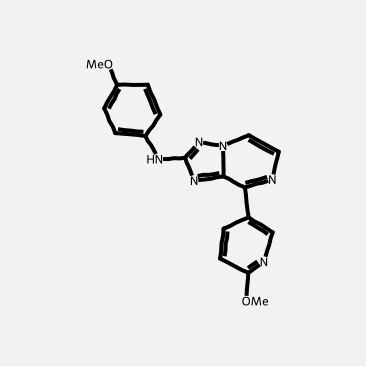 COc1ccc(Nc2nc3c(-c4ccc(OC)nc4)nccn3n2)cc1